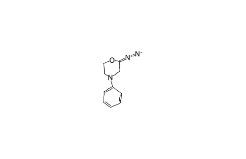 [N-]=[N+]=C1CN(c2ccccc2)CCO1